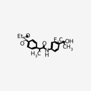 CCS(=O)(=O)c1ccc(C(C)C(=O)Nc2ccc(C(C)(O)C(F)(F)F)cc2)cc1